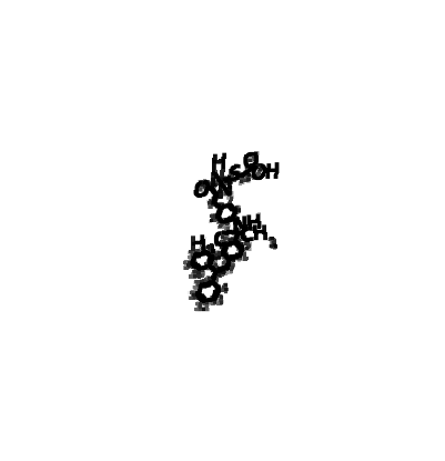 CCC(C)(Nc1ccc(/C=C2\N=C(SCC(=O)O)NC2=O)cc1)c1ccc(C=C(c2ccccc2)c2ccccc2)cc1